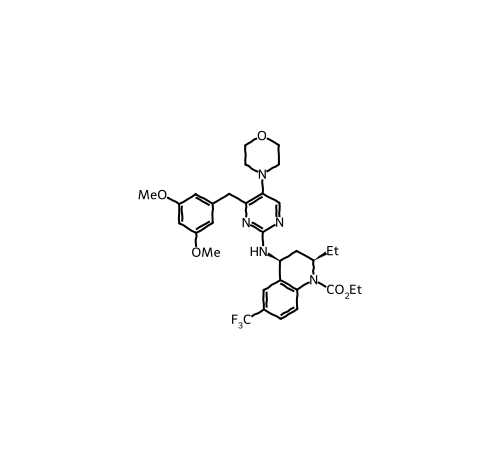 CCOC(=O)N1c2ccc(C(F)(F)F)cc2[C@@H](Nc2ncc(N3CCOCC3)c(Cc3cc(OC)cc(OC)c3)n2)C[C@H]1CC